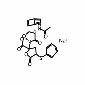 CC(=O)N[C@H]1CON(C2(C(=O)[O-])CC(Sc3ccccc3)C(=O)O2)C1=O.[Na+].c1cc2ccc1-2